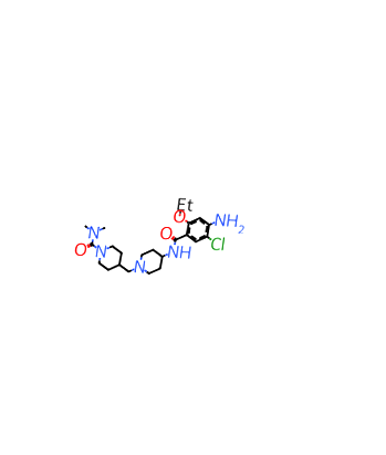 CCOc1cc(N)c(Cl)cc1C(=O)NC1CCN(CC2CCN(C(=O)N(C)C)CC2)CC1